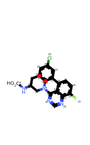 O=C(O)NC1CCCN(c2ncnc3c(F)ccc(-c4cccc(Cl)c4)c23)C1